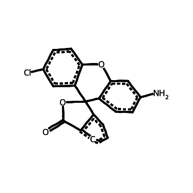 Nc1ccc2c(c1)Oc1ccc(Cl)cc1C21OC(=O)c2ccccc21